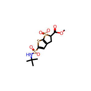 COC(=O)C1Cc2cc(S(=O)(=O)NC(C)(C)C)sc2S1(=O)=O